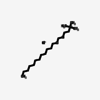 CCCCCCCCCCCCOCOCC[N+](C)(C)C.[Cl-]